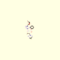 COc1cccc(OC)c1-n1c(NSC(C)C(O)c2ncc(F)cn2)nnc1-c1ccc(C)o1